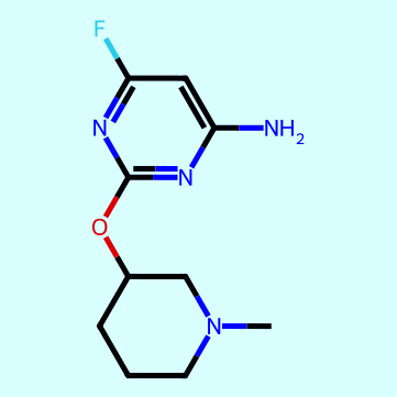 CN1CCCC(Oc2nc(N)cc(F)n2)C1